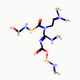 BNPOC(=O)/N=C(\NC)N(CCN(C)C)C(=O)PNBO